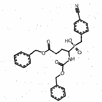 N#Cc1ccc(CP(=O)(O)C(CCC(=O)OCc2ccccc2)NC(=O)OCc2ccccc2)cc1